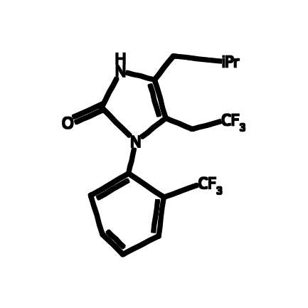 CC(C)Cc1[nH]c(=O)n(-c2ccccc2C(F)(F)F)c1CC(F)(F)F